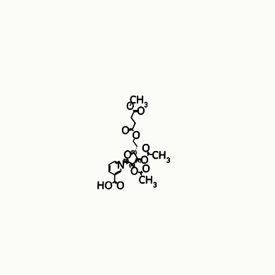 COC(=O)CCC(=O)OCC[C@H]1O[C@@H]([n+]2cccc(C(=O)O)c2)[C@H](OC(C)=O)[C@@H]1OC(C)=O